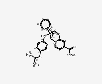 CNC(=O)c1ccc2c(c1)C1CC(Nc3ccc(CN(C)C)cc3)(c3ccccc3)N2C1=O